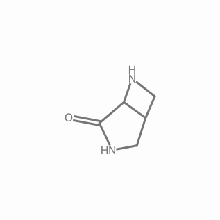 O=C1NCC2CNC12